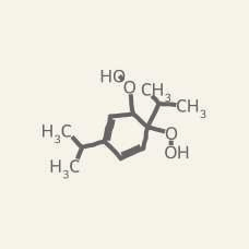 CC(C)C1=CC(OO)C(OO)(C(C)C)C=C1